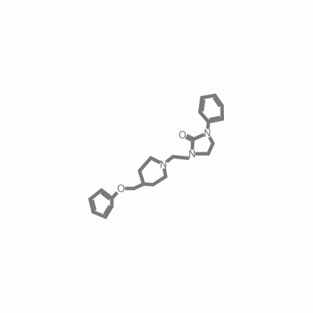 O=C1N(CCN2CCC(COc3ccccc3)CC2)CCN1c1ccccc1